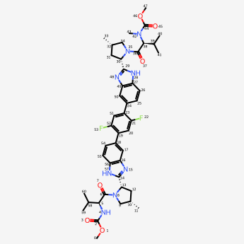 COC(=O)N[C@H](C(=O)N1C[C@@H](C)C[C@H]1c1nc2cc(-c3cc(F)c(-c4ccc5[nH]c([C@@H]6C[C@H](C)CN6C(=O)[C@H](C(C)C)N(C)C(=O)OC)nc5c4)cc3F)ccc2[nH]1)C(C)C